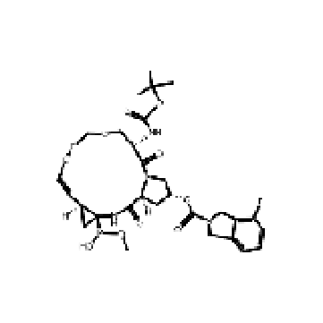 COP(O)[C@@]12C[C@H]1/C=C\CCCCC[C@H](NC(=O)OC(C)(C)C)C(=O)N1C[C@H](OC(=O)N3Cc4cccc(F)c4C3)C[C@H]1C(=O)N2